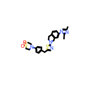 Cc1cn(-c2ccc3c(c2)CN(c2ncc(Cc4ccc(N5CCS(=O)(=O)CC5)cc4)s2)CC3)c(C)n1